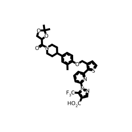 Cc1cc(C2CCN(C(=O)C3COC(C)(C)O3)CC2)ccc1OCc1ccsc1-c1cccc(-n2ncc(C(=O)O)c2C(F)(F)F)n1